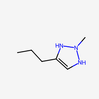 CCCC1=CNN(C)N1